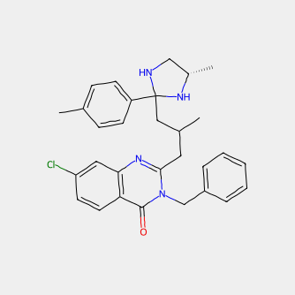 Cc1ccc(C2(CC(C)Cc3nc4cc(Cl)ccc4c(=O)n3Cc3ccccc3)NC[C@H](C)N2)cc1